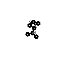 c1ccc(-c2cc(-c3ccccc3)nc(-c3ccc(-n4c5ccccc5c5ccc6sc7ccccc7c6c54)cc3)c2)cc1